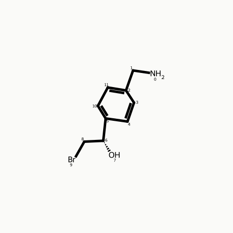 NCc1ccc([C@H](O)CBr)cc1